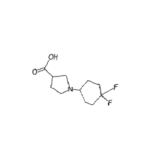 O=C(O)C1CCN(C2CCC(F)(F)CC2)C1